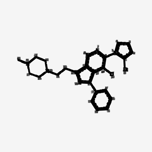 CCc1cccn1-c1nnc2c(c(-c3ccccc3)nn2CCN2CCN(C)CC2)c1Cl